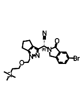 C[Si](C)(C)CCOCn1nc([C@H](C#N)N2Cc3ccc(Br)cc3C2=O)c2c1CCC2